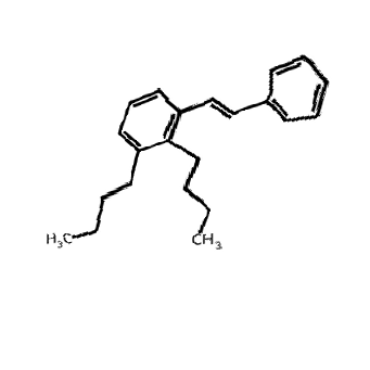 CCCCc1cccc(C=Cc2ccccc2)c1CCCC